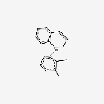 Cc1cccc([C@H]2CN=Cc3ccccc32)c1C